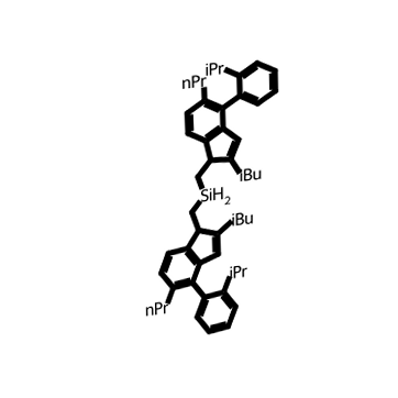 CCCc1ccc2c(c1-c1ccccc1C(C)C)C=C(C(C)CC)C2C[SiH2]CC1C(C(C)CC)=Cc2c1ccc(CCC)c2-c1ccccc1C(C)C